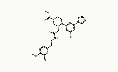 CCC(=O)N1CCN(c2cc(Cl)nc(-n3ccnc3)n2)C(CC(=O)NCCc2ccc(OC)c(Cl)c2)C1